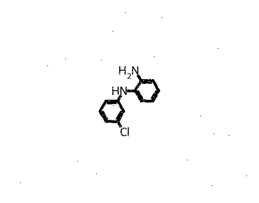 Nc1ccccc1Nc1cccc(Cl)c1